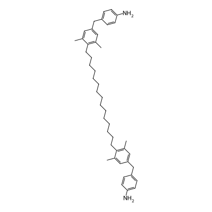 Cc1cc(Cc2ccc(N)cc2)cc(C)c1CCCCCCCCCCCCCCCc1c(C)cc(Cc2ccc(N)cc2)cc1C